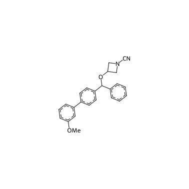 COc1cccc(-c2ccc(C(OC3CN(C#N)C3)c3ccccc3)cc2)c1